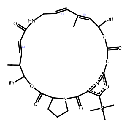 CC1=C\C(O)CC(=O)Cc2nc(c([Si](C)(C)C)o2)C(=O)N2CCCC2C(=O)OC(C(C)C)C(C)/C=C/C(=O)NC\C=C\1